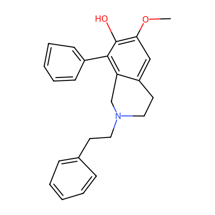 COc1cc2c(c(-c3ccccc3)c1O)CN(CCc1ccccc1)CC2